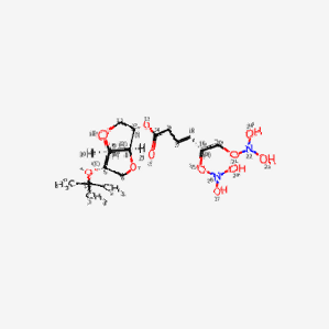 CC(C)(C)O[C@H]1CO[C@H]2[C@@H]1OC[C@@H]2OC(=O)CCC[C@H](CON(O)O)ON(O)O